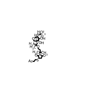 CC(=O)CCSC1CC(=O)N(C(C)(C)CCOC(C)(N)C[C@@]23CO[C@@H](O2)[C@@H](NC(=O)C(F)(F)F)[C@@H](O)[C@H]3O)C1=O